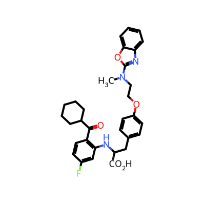 CN(CCOc1ccc(CC(Nc2cc(F)ccc2C(=O)C2CCCCC2)C(=O)O)cc1)c1nc2ccccc2o1